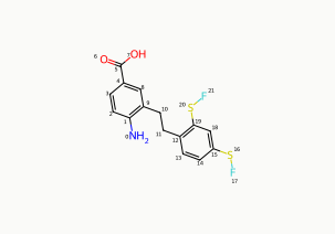 Nc1ccc(C(=O)O)cc1CCc1ccc(SF)cc1SF